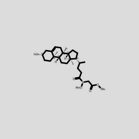 CON(CC(=O)OC(C)(C)C)C(=O)CCC(C)[C@H]1CC[C@H]2[C@@H]3CC=C4C[C@@H](O)CC[C@]4(C)[C@H]3CC[C@]12C